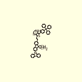 CCC1(CC)c2cc(/C=C/c3sc(-c4ccc(C(c5ccccc5)(c5ccccc5)c5ccccc5)cc4)c4c3N=CCN4)ccc2-c2ccc(-n3c4ccccc4c4ccccc43)cc21